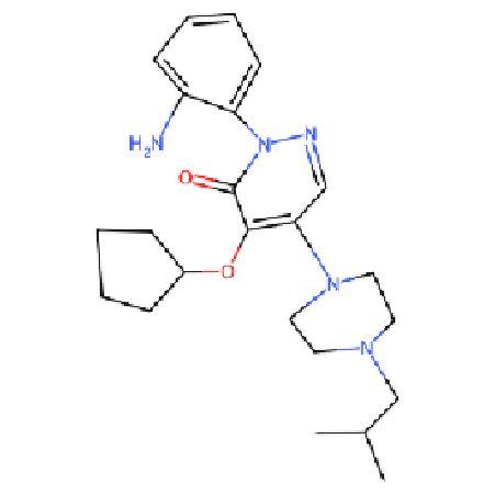 CC(C)CN1CCN(c2cnn(-c3ccccc3N)c(=O)c2OC2CCCC2)CC1